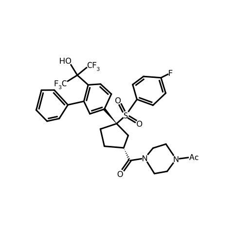 CC(=O)N1CCN(C(=O)[C@@H]2CC[C@](c3ccc(C(O)(C(F)(F)F)C(F)(F)F)c(-c4ccccc4)c3)(S(=O)(=O)c3ccc(F)cc3)C2)CC1